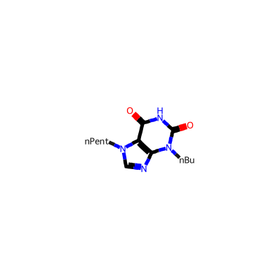 CCCCCn1cnc2c1c(=O)[nH]c(=O)n2CCCC